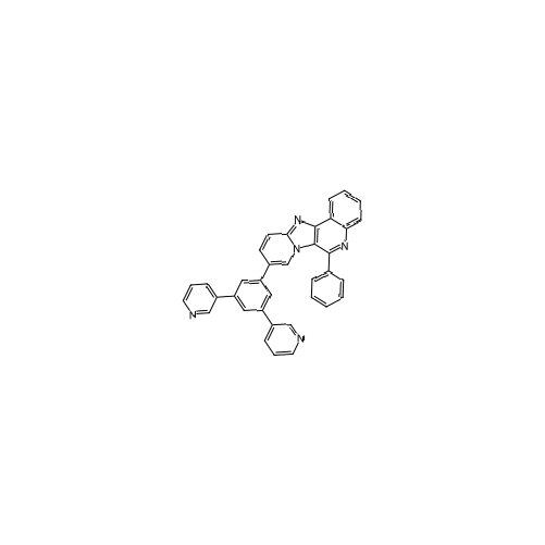 c1ccc(-c2nc3ccccc3c3nc4ccc(-c5cc(-c6cccnc6)cc(-c6cccnc6)c5)cn4c23)cc1